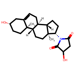 C[C@]12CC[C@H]3[C@@H](CC=C4C[C@@H](O)CC[C@@]43C)[C@@H]1CC[C@@H]2N1C(=O)CC(O)C1=O